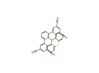 N#Cc1cc(C#N)cc(-c2cccc(-c3cc(C#N)cc(C#N)c3)c2C2c3ccccc3Sc3ccccc32)c1